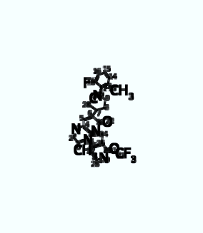 Cc1cnc2cc(C3CCN(c4c(C)cccc4F)CC3)c(=O)n(Cc3cccnc3OC(F)(F)F)c2n1